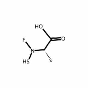 C[C@@H](C(=O)O)N(F)S